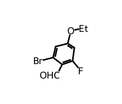 CCOc1cc(F)c(C=O)c(Br)c1